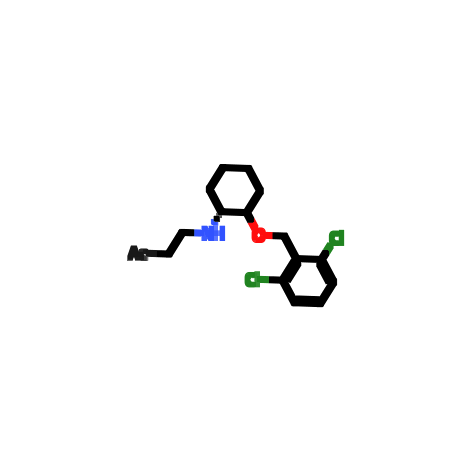 CC(=O)CCN[C@@H]1CCCCC1OCc1c(Cl)cccc1Cl